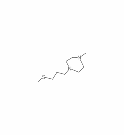 CSCCCN1CCN(C)CC1